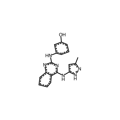 Cc1cc(Nc2nc(Nc3cccc(O)c3)nc3ccccc23)[nH]n1